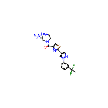 CC(F)(F)c1cccc(-n2cc(-c3nc(C(=O)N4CCN[C@@H](N)C4)cs3)cn2)c1